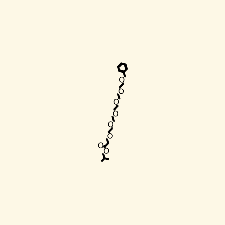 CC(C)COC(=O)CCOCCOCCOCCOCCOCCOCc1ccccc1